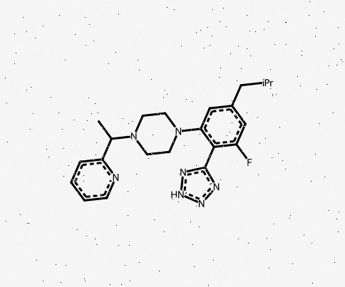 CC(C)Cc1cc(F)c(-c2nn[nH]n2)c(N2CCN(C(C)c3ccccn3)CC2)c1